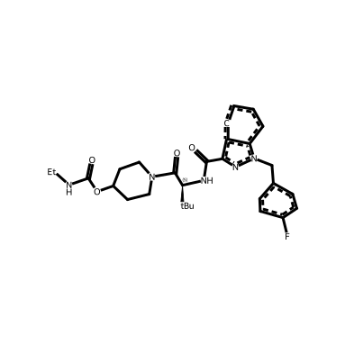 CCNC(=O)OC1CCN(C(=O)[C@@H](NC(=O)c2nn(Cc3ccc(F)cc3)c3ccccc23)C(C)(C)C)CC1